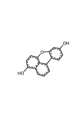 Oc1ccc2c(c1)Oc1ccc(O)c3cccc-2c13